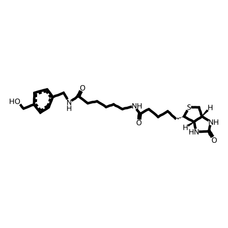 O=C(CCCC[C@@H]1SC[C@@H]2NC(=O)N[C@@H]21)NCCCCCC(=O)NCc1ccc(CO)cc1